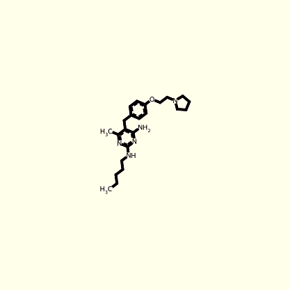 CCCCCNc1nc(C)c(Cc2ccc(OCCN3CCCC3)cc2)c(N)n1